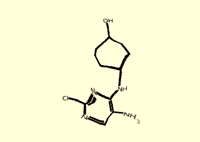 Nc1cnc(Cl)nc1NC1CCC(O)CC1